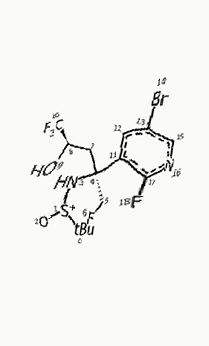 CC(C)(C)[S+]([O-])N[C@@](CF)(C[C@@H](O)C(F)(F)F)c1cc(Br)cnc1F